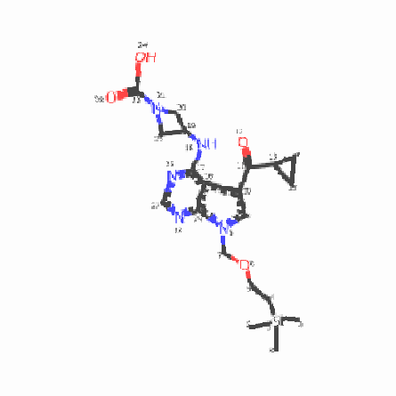 C[Si](C)(C)CCOCn1cc(C(=O)C2CC2)c2c(NC3CN(C(=O)O)C3)ncnc21